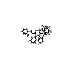 [2H]C1([2H])C([2H])([2H])C([2H])([2H])C([2H])(NC(=O)C(c2ccccc2C)N(C(=O)CNc2ncccc2F)c2cccc(F)c2)C([2H])([2H])C1([2H])[2H]